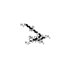 CCC(COC(C)C)OC(COCCCNC(=O)CCCCN)COC(C)(C)CCOC(C)C